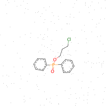 O=P(OCCCCl)(c1ccccc1)c1ccccc1